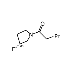 CC(C)CC(=O)N1CC[C@@H](F)C1